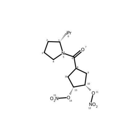 CC(C)[C@H]1CCCN1C(=O)C1C[C@H](O[N+](=O)[O-])[C@H](O[N+](=O)[O-])C1